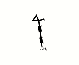 CC1(C#CC#C[SiH3])CC1